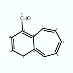 O=CC1=C2C=CC=CC=C2CC=C1